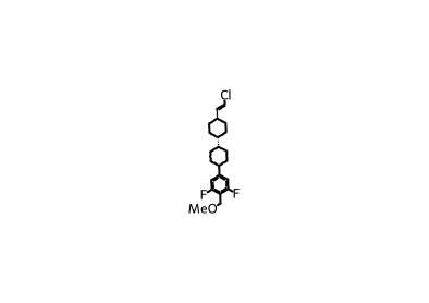 COCc1c(F)cc(C2CCC([C@H]3CC[C@H](/C=C/Cl)CC3)CC2)cc1F